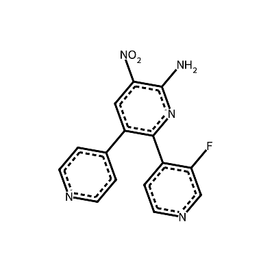 Nc1nc(-c2ccncc2F)c(-c2ccncc2)cc1[N+](=O)[O-]